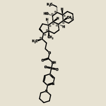 CC[C@H]1[C@@H](O)[C@@H]2[C@H](CC[C@]3(C)[C@@H]([C@H](C)CCOC(=O)NS(=O)(=O)c4ccc(N5CCCCC5)nc4)CC[C@@H]23)[C@@]2(C)CCCC[C@@H]12